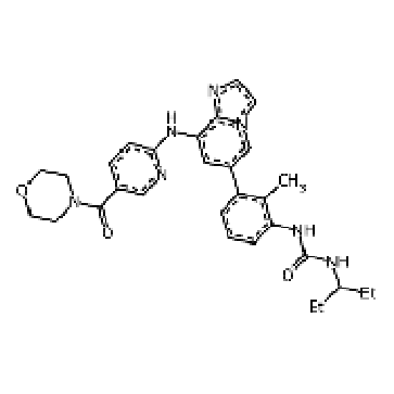 CCC(CC)NC(=O)Nc1cccc(-c2cc(Nc3ccc(C(=O)N4CCOCC4)cn3)c3nccn3c2)c1C